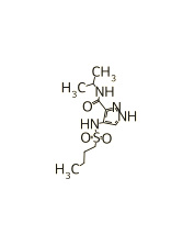 CCCCS(=O)(=O)Nc1c[nH]nc1C(=O)NC(C)C